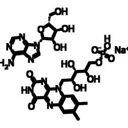 Cc1cc2nc3c(=O)[nH]c(=O)nc-3n(C[C@H](O)[C@H](O)[C@H](O)COP(=O)([O-])O)c2cc1C.Nc1ncnc2c1ncn2[C@@H]1O[C@H](CO)[C@@H](O)[C@H]1O.[Na+]